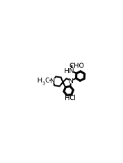 CN1CCC2(CC1)CN(c1ccccc1NC=O)c1ccccc12.Cl